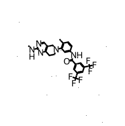 CNc1ncc2c(n1)CCN(c1cc(NC(=O)c3cc(C(F)(F)F)cc(C(F)(F)F)c3)ccc1C)C2